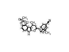 CC(CC(=O)N1C2CC3(C)CC1CC(C#N)(C2)C3)c1c[nH]c2ccc(OS(C)(=O)=O)c(Cl)c12